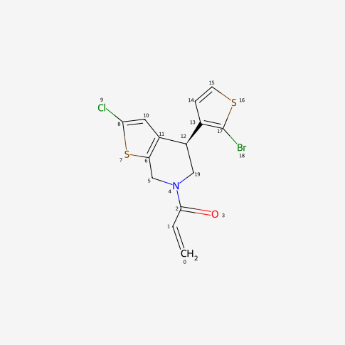 C=CC(=O)N1Cc2sc(Cl)cc2[C@@H](c2ccsc2Br)C1